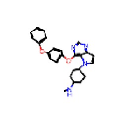 CNC1CCC(n2ccc3ncnc(Oc4ccc(Oc5ccccc5)cc4)c32)CC1